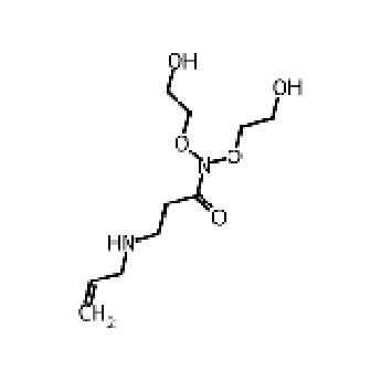 C=CCNCCC(=O)N(OCCO)OCCO